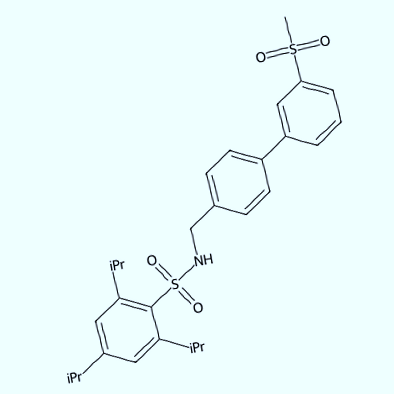 CC(C)c1cc(C(C)C)c(S(=O)(=O)NCc2ccc(-c3cccc(S(C)(=O)=O)c3)cc2)c(C(C)C)c1